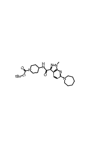 Cn1nc(C(=O)NC2CCN(C(=O)OC(C)(C)C)CC2)c2ccc(N3CCCCCC3)nc21